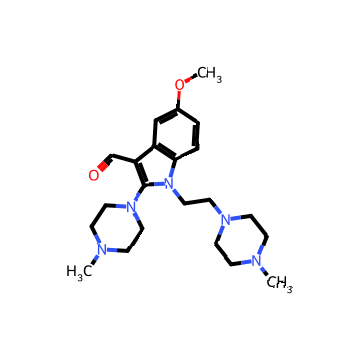 COc1ccc2c(c1)c(C=O)c(N1CCN(C)CC1)n2CCN1CCN(C)CC1